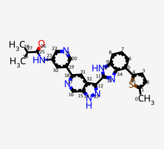 Cc1ccc(-c2cccc3[nH]c(-c4n[nH]c5cnc(-c6cncc(NC(=O)C(C)C)c6)cc45)nc23)s1